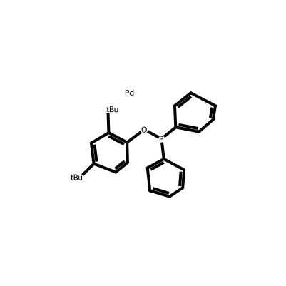 CC(C)(C)c1ccc(OP(c2ccccc2)c2ccccc2)c(C(C)(C)C)c1.[Pd]